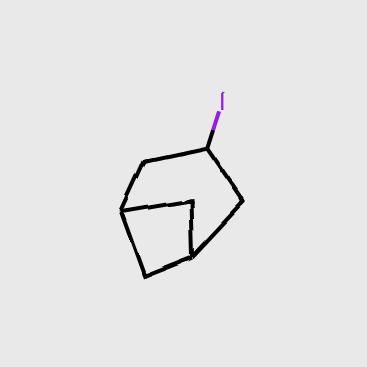 IC1CC2CC(C1)C2